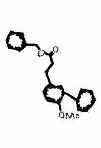 COc1ccc(CCC(=O)OCc2ccccc2)cc1-c1ccccc1